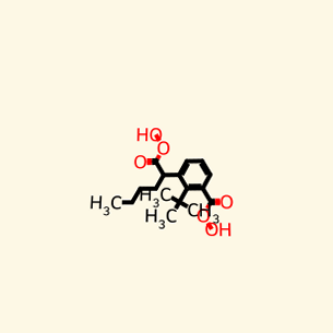 CCCCC(C(=O)OO)c1cccc(C(=O)OO)c1C(C)(C)C